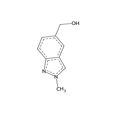 Cn1cc2cc(CO)ccc2n1